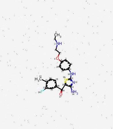 CCNCCOc1ccc(Nc2nc(N)c(C(=O)c3ccc(C)c(F)c3)s2)cc1